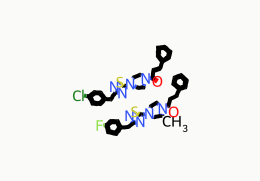 CC1CN(c2nc(Cc3ccc(F)cc3)ns2)CCN1C(=O)CCc1ccccc1.O=C(C=Cc1ccccc1)N1CCN(c2nc(Cc3ccc(Cl)cc3)ns2)CC1